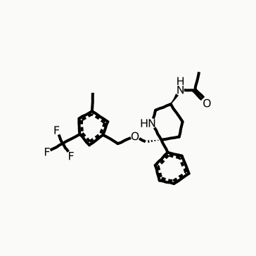 CC(=O)N[C@H]1CC[C@@](COCc2cc(C)cc(C(F)(F)F)c2)(c2ccccc2)NC1